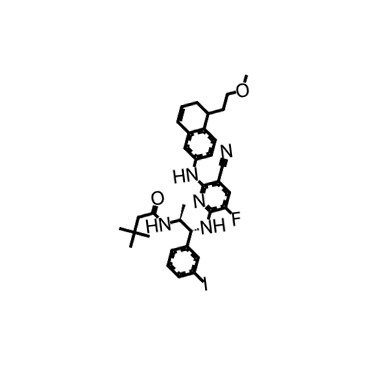 COCCC1CC=Cc2cc(Nc3nc(N[C@H](c4cccc(I)c4)[C@H](C)NC(=O)CC(C)(C)C)c(F)cc3C#N)ccc21